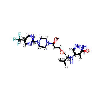 Cc1c(N[C@H](COCCC(=O)N2CCN(c3ncc(C(F)(F)F)cn3)CC2)C(C)C)cn[nH]c1=O